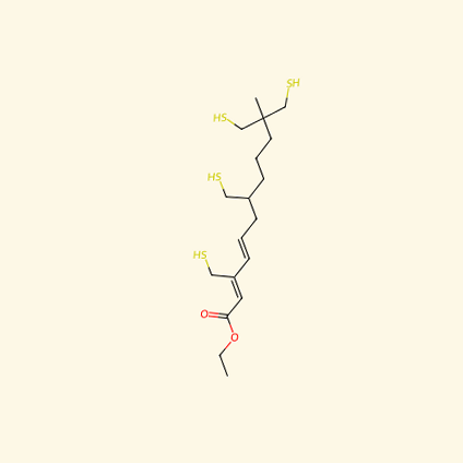 CCOC(=O)C=C(C=CCC(CS)CCCC(C)(CS)CS)CS